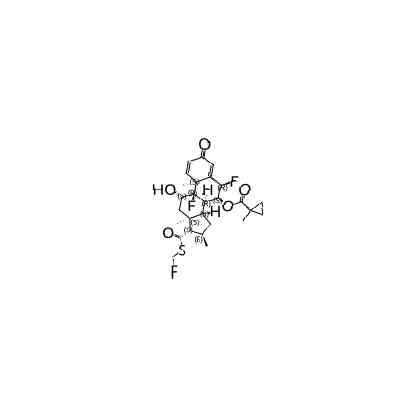 C[C@@H]1C[C@H]2[C@@H]3[C@H](OC(=O)C4(C)CC4)[C@H](F)C4=CC(=O)C=C[C@]4(C)[C@@]3(F)[C@@H](O)C[C@]2(C)[C@H]1C(=O)SCF